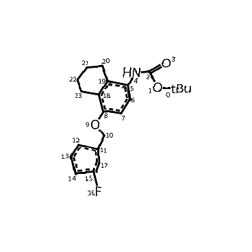 CC(C)(C)OC(=O)Nc1ccc(OCc2cccc(F)c2)c2c1CCCC2